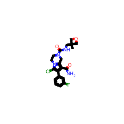 CC1(CNC(=O)N2CCn3c(Cl)c(-c4cccc(F)c4)c(C(N)=O)c3C2)COC1